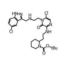 CC(C)(C)OC(=O)N1CCCCC1CCNc1ncc(Cl)n(CCNCc2n[nH]c3ccc(Cl)cc23)c1=O